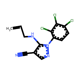 C=CCNc1c(C#N)cnn1-c1ccc(Cl)c(Cl)c1Cl